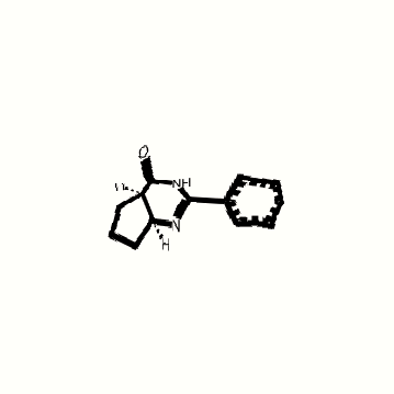 O=C1NC(c2ccccc2)=N[C@H]2CCC[C@@H]12